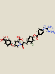 NN=C(N)Nc1ccc(C(=O)Oc2ccc(CCC(=O)N3C[C@@H](Oc4ccc(C(=O)O)cc4)C[C@H]3C(=O)O)c(Cl)c2)cc1